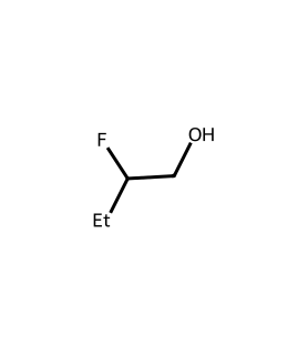 CCC(F)CO